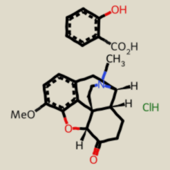 COc1ccc2c3c1O[C@H]1C(=O)CC[C@H]4[C@@H](C2)N(C)CC[C@]314.Cl.O=C(O)c1ccccc1O